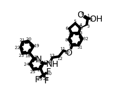 O=C(O)C[C@@H]1CCc2cc(OCCCNc3nc(-c4ccccc4)ccc3C(F)(F)F)ccc21